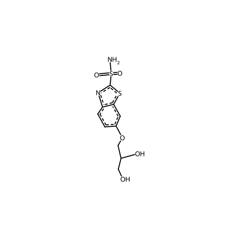 NS(=O)(=O)c1nc2ccc(OCC(O)CO)cc2s1